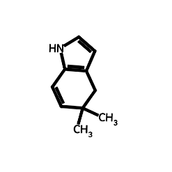 CC1(C)C=Cc2[nH]ccc2C1